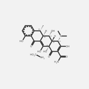 C[C@H]1c2cccc(O)c2C(=O)C2=C(O)[C@]3(O)C(=O)C(C(N)=O)=C(O)[C@@H](N(C)C)[C@H]3[C@@H](O)[C@@H]21.NC(=O)O